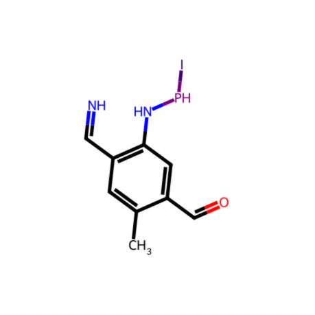 Cc1cc(C=N)c(NPI)cc1C=O